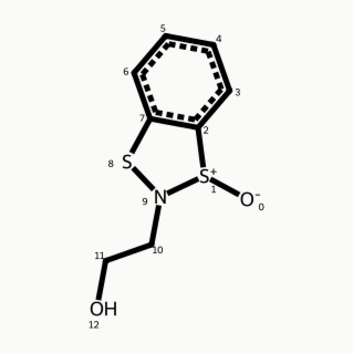 [O-][S+]1c2ccccc2SN1CCO